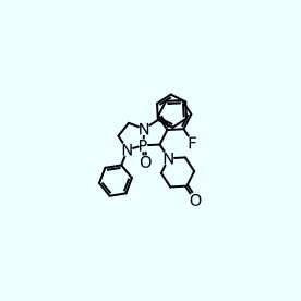 O=C1CCN(C(c2ccccc2F)P2(=O)N(c3ccccc3)CCN2c2ccccc2)CC1